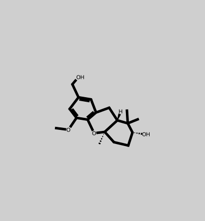 COc1cc(CO)cc2c1O[C@]1(C)CC[C@@H](O)C(C)(C)[C@H]1C2